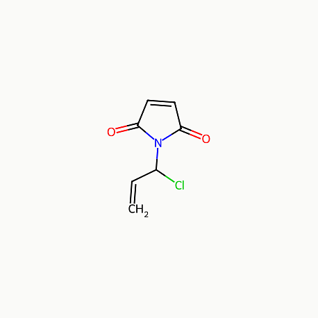 C=CC(Cl)N1C(=O)C=CC1=O